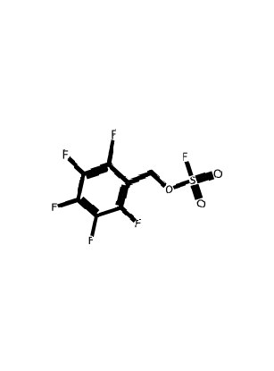 O=S(=O)(F)OCc1c(F)c(F)c(F)c(F)c1F